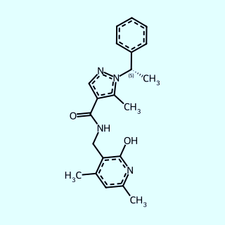 Cc1cc(C)c(CNC(=O)c2cnn([C@@H](C)c3ccccc3)c2C)c(O)n1